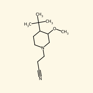 COC1CN(CCC#N)CCC1C(C)(C)C